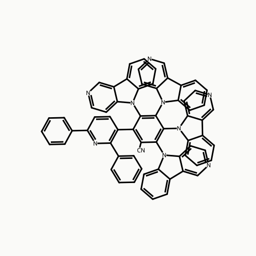 N#Cc1c(-c2ccc(-c3ccccc3)nc2-c2ccccc2)c(-n2c3ccccc3c3cnccc32)c(-n2c3ccccc3c3cnccc32)c(-n2c3ccccc3c3cnccc32)c1-n1c2ccccc2c2cnccc21